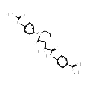 N=C(N)c1ccc(NC(=O)[C@H](O)[C@H]2OCCN(c3ccc(NC(N)=O)cc3)C2=O)cc1